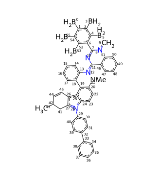 Bc1c(B)c(B)c(/C(N=C)=N/C(=N\c2ccccc2-c2c(NC)ccc3c2c2c(n3-c3ccc(-c4ccccc4)cc3)CC(C)C=C2)c2ccccc2)c(B)c1B